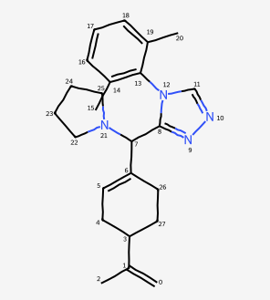 C=C(C)C1CC=C(C(c2nncn2-c2c(C)cccc2C)N2CCCC2)CC1